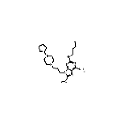 CCCCNc1nc(N)c2nc(OC)n(CCCN3CCN(C4CCCC4)CC3)c2n1